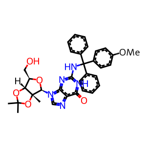 COc1ccc(C(Nc2nc3c(ncn3[C@@H]3O[C@H](CO)[C@H]4OC(C)(C)O[C@]43C)c(=O)[nH]2)(c2ccccc2)c2ccccc2)cc1